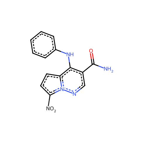 NC(=O)c1cnn2c([N+](=O)[O-])ccc2c1Nc1ccccc1